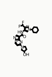 O=C(Nc1cn(C2CCCCC2)nc1C(F)F)c1cnn2ccc(N3CCC(O)C3)nc12